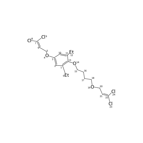 CCc1cc(OCC=C(Cl)Cl)cc(CC)c1OCCCCOCC=C(Cl)Cl